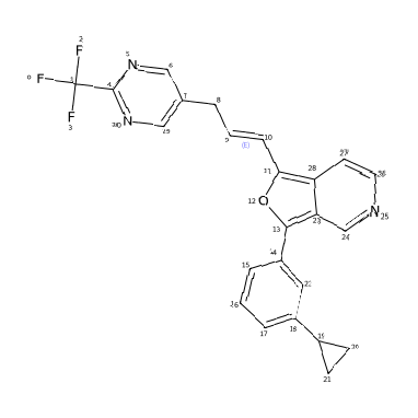 FC(F)(F)c1ncc(C/C=C/c2oc(-c3cccc(C4CC4)c3)c3cnccc23)cn1